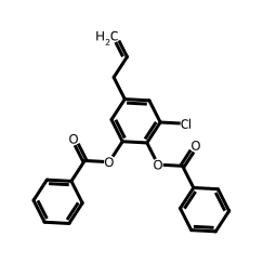 C=CCc1cc(Cl)c(OC(=O)c2ccccc2)c(OC(=O)c2ccccc2)c1